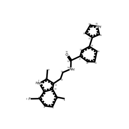 Cc1[nH]c2c(F)ccc(C)c2c1CCNC(=O)c1cccc(-c2cc[nH]c2)c1